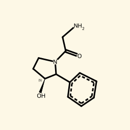 NCC(=O)N1CC[C@H](O)C1c1ccccc1